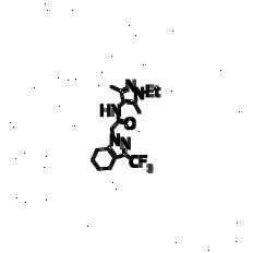 CCn1nc(C)c(NC(=O)Cn2nc(C(F)(F)F)c3c2CCCC3)c1C